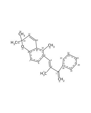 C=C(/C(C)=C/c1ccc2c(c1C)C=CC(C)(C)O2)c1ccccc1